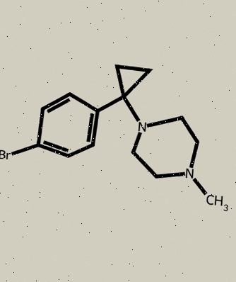 CN1CCN(C2(c3ccc(Br)cc3)CC2)CC1